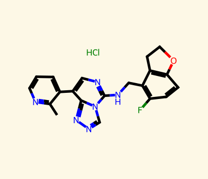 Cc1ncccc1-c1cnc(NCc2c(F)ccc3c2CCO3)n2cnnc12.Cl